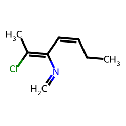 C=NC(/C=C\CC)=C(/C)Cl